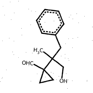 CC(CO)(Cc1ccccc1)C1(C=O)CC1